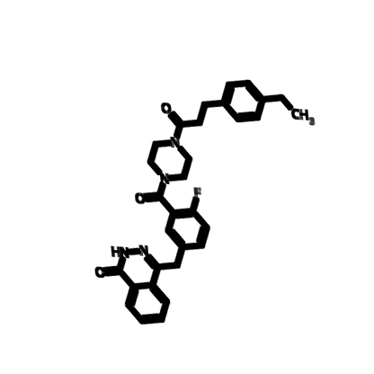 CCc1ccc(CCC(=O)N2CCN(C(=O)c3cc(Cc4n[nH]c(=O)c5ccccc45)ccc3F)CC2)cc1